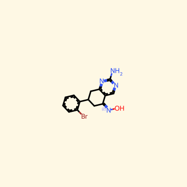 Nc1ncc2c(n1)CC(c1ccccc1Br)C/C2=N/O